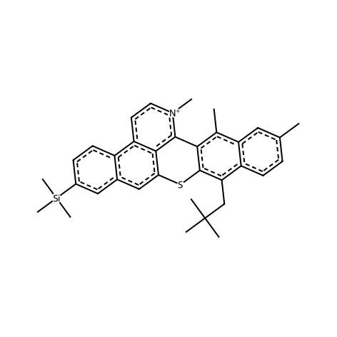 Cc1ccc2c(CC(C)(C)C)c3c(c(C)c2c1)-c1c2c(cc4cc([Si](C)(C)C)ccc4c2cc[n+]1C)S3